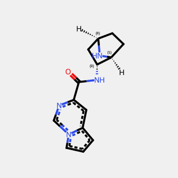 O=C(N[C@@H]1C[C@H]2CC[C@@H]1N2)c1cc2cccn2cn1